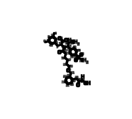 Cc1cc(C)cc(C[C@@H](C(=O)O)N(C(=O)CCCCCOCc2ccccc2CC(=O)NO)C(CN)c2ccc(S(N)(=O)=O)cc2)c1